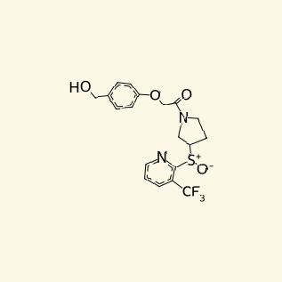 O=C(COc1ccc(CO)cc1)N1CCC([S+]([O-])c2ncccc2C(F)(F)F)C1